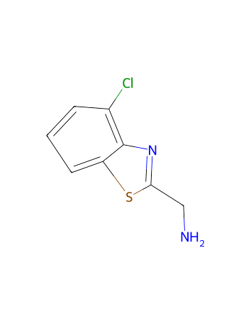 NCc1nc2c(Cl)cccc2s1